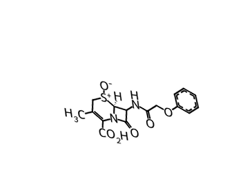 CC1=C(C(=O)O)N2C(=O)C(NC(=O)COc3ccccc3)[C@@H]2[S+]([O-])C1